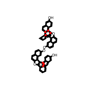 Oc1ccc2c3c(ccc2c1)OC12c4c(ccc5ccc(OOc6ccc7ccc8c(c7c6)C67c9c(ccc%10cc(O)ccc9%10)OC6(O8)c6cccc8cccc7c68)cc45)OC31c1cccc3cccc2c13